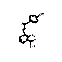 O=C(C=Cc1cccc(C(=O)O)c1O)c1ccc(O)cc1